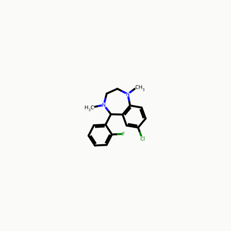 CN1CCN(C)C(c2ccccc2F)c2cc(Cl)ccc21